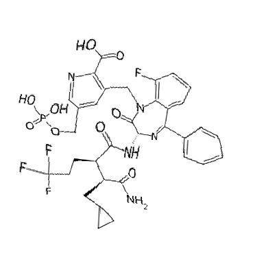 NC(=O)[C@@H](CC1CC1)[C@@H](CCC(F)(F)F)C(=O)N[C@H]1N=C(c2ccccc2)c2cccc(F)c2N(Cc2cc(COP(=O)(O)O)cnc2C(=O)O)C1=O